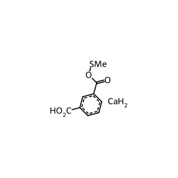 CSOC(=O)c1cccc(C(=O)O)c1.[CaH2]